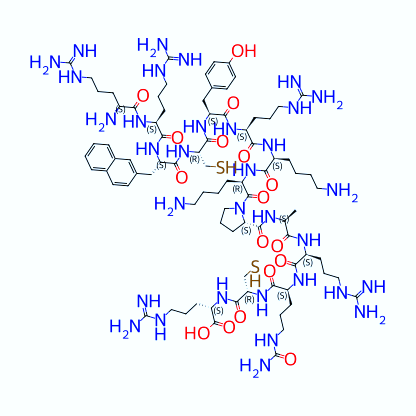 C[C@H](NC(=O)[C@@H]1CCCN1C(=O)[C@@H](CCCCN)NC(=O)[C@H](CCCCN)NC(=O)[C@H](CCCNC(=N)N)NC(=O)[C@H](Cc1ccc(O)cc1)NC(=O)[C@H](CS)NC(=O)[C@H](Cc1ccc2ccccc2c1)NC(=O)[C@H](CCCNC(=N)N)NC(=O)[C@@H](N)CCCNC(=N)N)C(=O)N[C@@H](CCCNC(=N)N)C(=O)N[C@@H](CCCNC(N)=O)C(=O)N[C@@H](CS)C(=O)N[C@@H](CCCNC(=N)N)C(=O)O